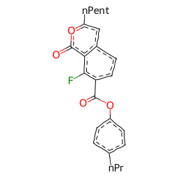 CCCCCc1cc2ccc(C(=O)Oc3ccc(CCC)cc3)c(F)c2c(=O)o1